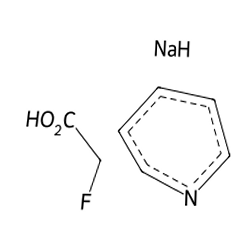 O=C(O)CF.[NaH].c1ccncc1